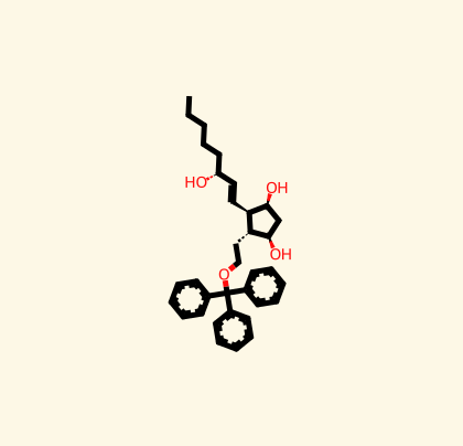 CCCCC[C@@H](O)/C=C/[C@@H]1[C@@H](CCOC(c2ccccc2)(c2ccccc2)c2ccccc2)[C@H](O)C[C@@H]1O